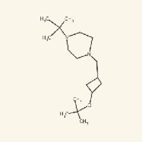 CC(C)(C)OC1CC(CN2CCN(C(C)(C)C)CC2)C1